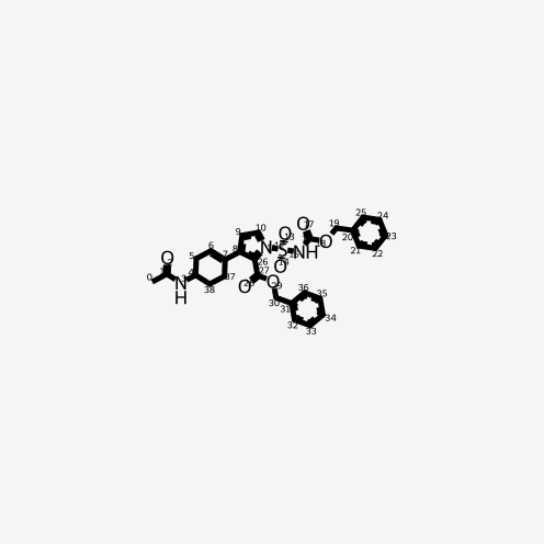 CC(=O)NC1CC=C(c2ccn(S(=O)(=O)NC(=O)OCc3ccccc3)c2C(=O)OCc2ccccc2)CC1